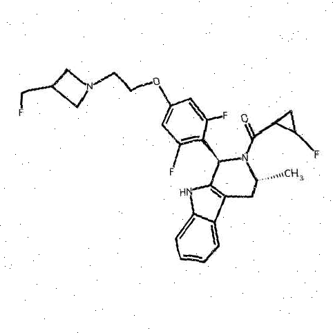 C[C@@H]1Cc2c([nH]c3ccccc23)[C@@H](c2c(F)cc(OCCN3CC(CF)C3)cc2F)N1C(=O)C1CC1F